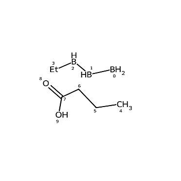 BBBCC.CCCC(=O)O